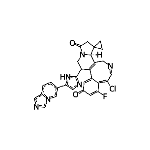 O=C1C=C(F)C2=C(Cl)C=NCC3=C(C2=C1)C(c1ncc(-c2ccc4cncn4c2)[nH]1)CN1C(=O)CC2(CC2)[C@@H]31